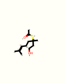 CC(=O)SC(C)(CCO)CCC=C(C)C